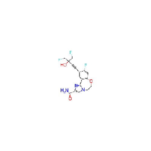 NC(=O)c1cn2c(n1)-c1cc(C#CC(O)(CF)CF)c(F)cc1OCC2